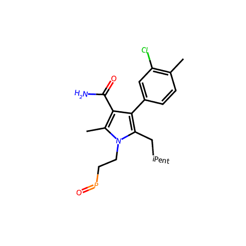 CCCC(C)Cc1c(-c2ccc(C)c(Cl)c2)c(C(N)=O)c(C)n1CCP=O